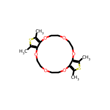 Cc1sc(C)c2c1OCCOCCOc1c(C)sc(C)c1OCCOCCO2